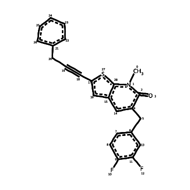 Cn1c(=O)c(Cc2ccc(F)c(F)c2)cc2cc(C#CCc3ccccc3)sc21